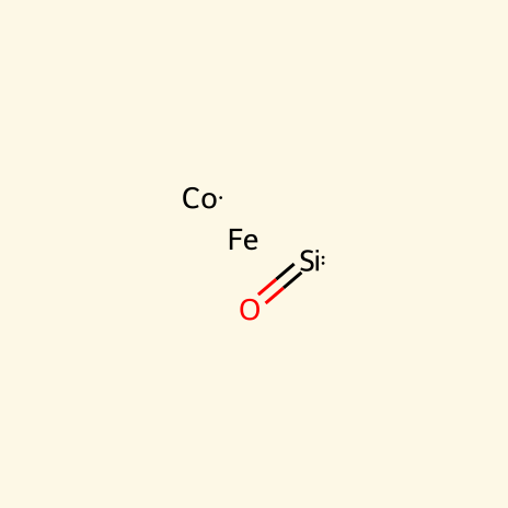 O=[Si].[Co].[Fe]